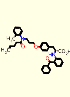 C=CCCC(=O)N(CCCOc1ccc(C[C@H](Nc2ccccc2C(=O)c2ccccc2)C(=O)O)cc1)c1ccccc1C